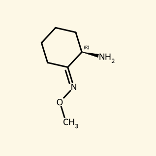 CON=C1CCCC[C@H]1N